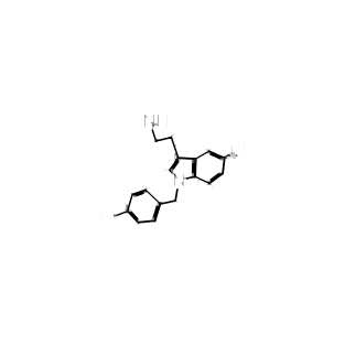 NCCc1cn(Cc2ccc(Cl)cc2)c2ccc(Cl)cc12